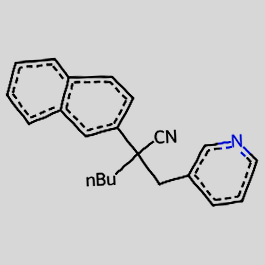 CCCCC(C#N)(Cc1cccnc1)c1ccc2ccccc2c1